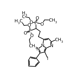 CCOP(=O)(OCC)C(CCc1cc(C)nc2c(I)c(-c3ccccc3)nn12)P(=O)(OCC)OCC